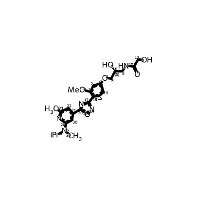 COc1cc(OC[C@@H](O)CNC(=O)CO)ccc1-c1noc(-c2cc(C)nc(N(C)C(C)C)c2)n1